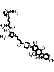 CCc1cc2c(cc1N1CCN(C(=O)CCCN3C[C@@H](C)[C@@H](NC(=O)[C@@H](N)CCCn4ccnc4N)C3)CC1)C(C)(C)c1[nH]c3cc(C#N)ccc3c1C2=O